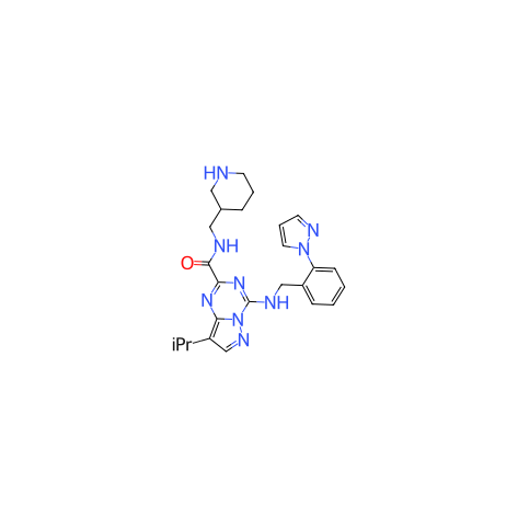 CC(C)c1cnn2c(NCc3ccccc3-n3cccn3)nc(C(=O)NCC3CCCNC3)nc12